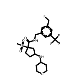 CS(=O)(=O)C1(C(=O)NCc2cc(CF)cc(C(F)(F)F)c2)CCC(NC2CCOCC2)C1